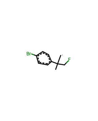 [CH2]C(C)(CF)c1ccc(Br)cc1